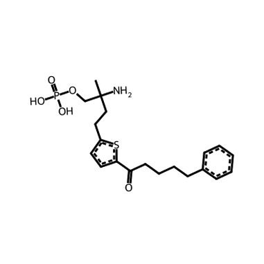 CC(N)(CCc1ccc(C(=O)CCCCc2ccccc2)s1)COP(=O)(O)O